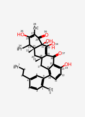 CCc1ccc(CCC(C)C)cc1-c1ccc(O)c2c1C[C@]1(C)C[C@]3(C)C(C(C)C)C(O)=C(C(C)=O)C(=O)[C@]3(O)C(O)=C1C2=O